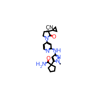 Cn1nc(Nc2cc(N3CC[C@@](C#N)(C4CC4)C3=O)ccn2)cc1C1(C(N)=O)CCCC1